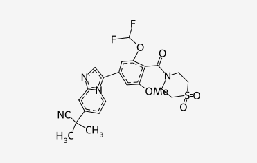 COc1cc(-c2cnc3cc(C(C)(C)C#N)ccn23)cc(OC(F)F)c1C(=O)N1CCS(=O)(=O)CC1